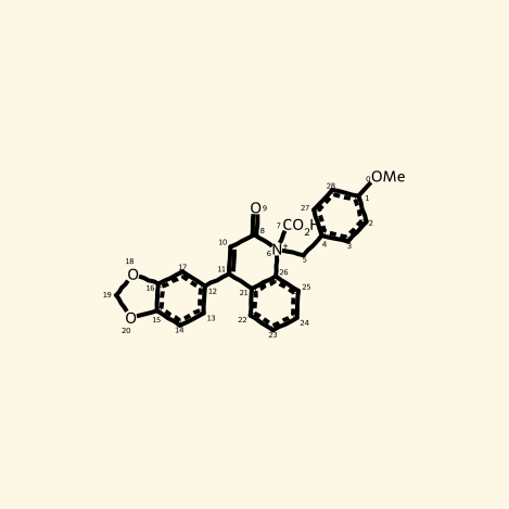 COc1ccc(C[N+]2(C(=O)O)C(=O)C=C(c3ccc4c(c3)OCO4)c3ccccc32)cc1